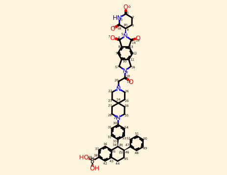 O=C1CC[C@@H](N2C(=O)c3cc4c(cc3C2=O)CN(C(=O)CN2CCC3(CC2)CCN(c2ccc([C@@H]5c6ccc(B(O)O)cc6CC[C@@H]5c5ccccc5)cc2)CC3)C4)C(=O)N1